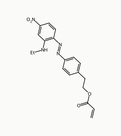 C=CC(=O)OCCc1ccc(N=Nc2ccc([N+](=O)[O-])cc2NCC)cc1